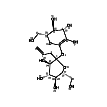 C=CCC1(OC2=C(O)[C@@H](O)[C@H](O)[C@@H](CO)O2)O[C@H](CO)[C@@H](O)[C@H](O)[C@H]1O